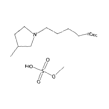 CCCCCCCCCCCCCCN1CCC(C)C1.COS(=O)(=O)O